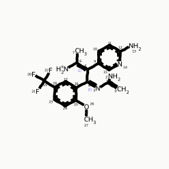 C=C(N)/N=C(\C(=C(\C)N)c1ccc(N)nc1)c1cc(C(F)(F)F)ccc1OC